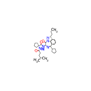 CCCCc1cccc2c1NC(=O)C(NC(=O)C1(NC(=O)CCC(C)C)CCCC1)N=C2C1CCCC1